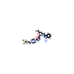 CCCCC(Cc1c[nH]c2ccccc12)NC(=O)c1cnc(N2CCN(CCOC(F)(F)F)CC2)o1